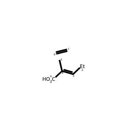 C=C.[CH2]CC=C(C)C(=O)O